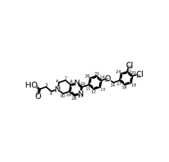 O=C(O)CCN1CCc2nc(-c3ccc(OCc4ccc(Cl)c(Cl)c4)cc3)ncc2C1